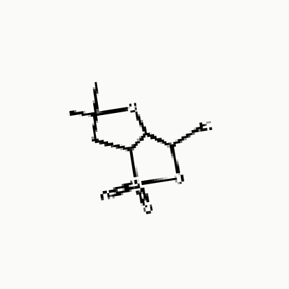 CCC1OS(=O)(=O)C2CC(C)(C)OC12